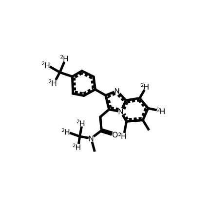 [2H]c1c(C)c([2H])n2c(CC(=O)N(C)C([2H])([2H])[2H])c(-c3ccc(C([2H])([2H])[2H])cc3)nc2c1[2H]